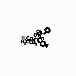 CC(C)(C)OC(=O)C[C@@H](CC1CCC2(CC1)CC2)C(=O)N1C(=O)OC[C@@H]1Cc1ccccc1